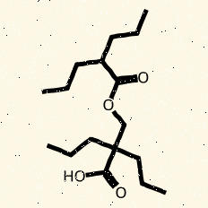 CCCC(CCC)C(=O)OCC(CCC)(CCC)C(=O)O